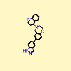 c1ccc2c(N3CCOc4ccc(-c5ccc6[nH]ncc6c5)cc4C3)ccnc2c1